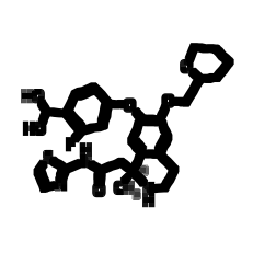 C[C@]1(CC(=O)Nc2nccs2)NCCc2cc(OCC3CCCCO3)c(Oc3ccc(C(O)O)c(F)c3)cc21